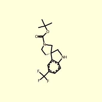 CC(C)(C)OC(=O)N1CC[C@@]2(CNc3ccc(C(F)(F)F)cc32)C1